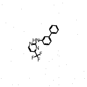 FC(F)(F)c1ccnc(Nc2cccc(-c3ccccc3)c2)n1